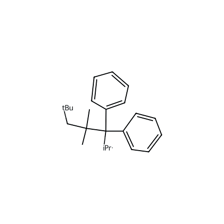 C[C](C)C(c1ccccc1)(c1ccccc1)C(C)(C)CC(C)(C)C